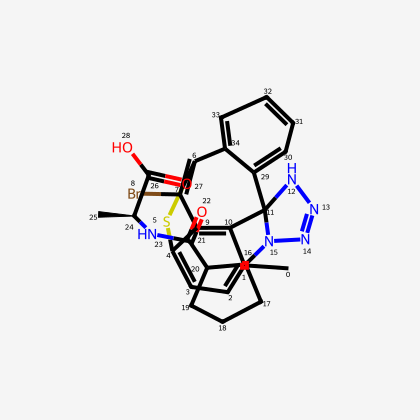 Cc1ccc2sc3c(Br)c2c1C1(NN=NN1C1CCCC1C(=O)N[C@@H](C)C(=O)O)c1ccccc1-3